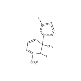 CC1(c2cccc(F)c2)C=CC=C(C(=O)O)C1F